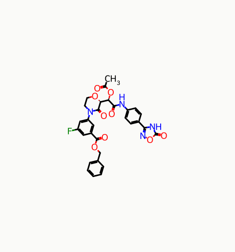 CC(=O)O[C@@H](C(=O)Nc1ccc(-c2noc(=O)[nH]2)cc1)[C@H]1OCCN(c2cc(F)cc(C(=O)OCc3ccccc3)c2)C1=O